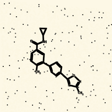 Cc1noc(-c2ccc(-c3cc(C(=O)NC4CC4)ccc3C)cc2)n1